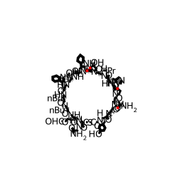 CCCC[C@H]1NC(=O)[C@H](Cc2c[nH]c3ccccc23)NC(=O)[C@H](CO)NC(=O)[C@H](Cc2c[nH]c3ccccc23)NC(=O)[C@@H]2C[C@@H](O)CN2C(=O)[C@H](CC(C)C)NC(=O)[C@H](Cc2cnc[nH]2)NC(=O)[C@@H]2CCCN2C(=O)[C@H](CC(N)=O)NC(=O)[C@H](C)N(C)C(=O)[C@H](Cc2ccc(O)cc2)NC(=O)CSCC(C(=O)NCC(N)=O)NC(=O)[C@H](CCOC=O)NC(=O)[C@H](CCCC)N(C)C1=O